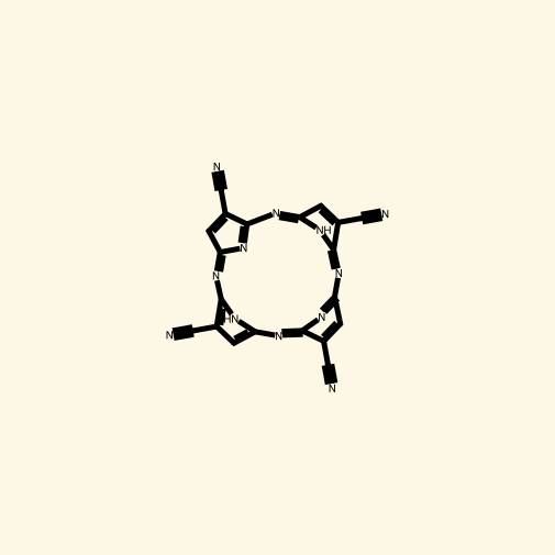 N#CC1=Cc2nc1nc1cc(C#N)c(nc3nc(nc4cc(C#N)c(n2)[nH]4)C(C#N)=C3)[nH]1